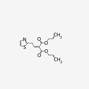 C=CCOC(=O)C(=CCc1nccs1)C(=O)OCC=C